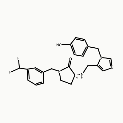 N#Cc1ccc(Cn2cncc2CN[C@@H]2CCN(Cc3cccc(C(F)F)c3)C2=O)cc1